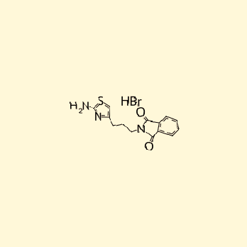 Br.Nc1nc(CCCN2C(=O)c3ccccc3C2=O)cs1